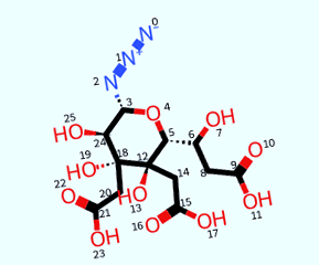 [N-]=[N+]=N[C@@H]1O[C@H](C(O)CC(=O)O)[C@](O)(CC(=O)O)[C@@](O)(CC(=O)O)[C@H]1O